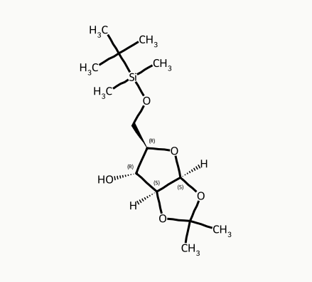 CC1(C)O[C@@H]2O[C@H](CO[Si](C)(C)C(C)(C)C)[C@@H](O)[C@@H]2O1